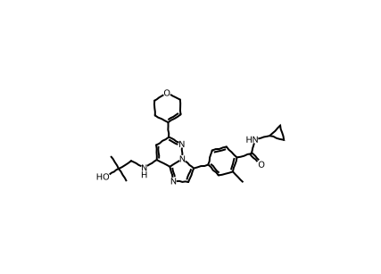 Cc1cc(-c2cnc3c(NCC(C)(C)O)cc(C4=CCOCC4)nn23)ccc1C(=O)NC1CC1